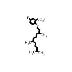 CC(C)=CCCC(C)=CCCC(C)=CCSc1ccc(F)cc1C(=O)O